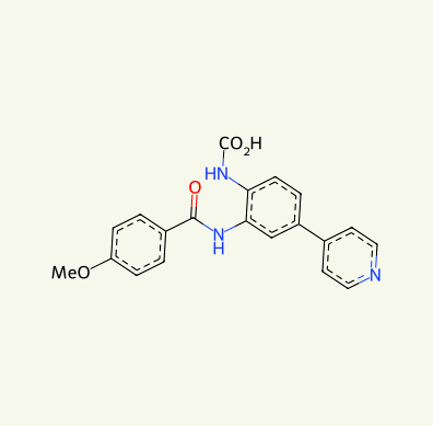 COc1ccc(C(=O)Nc2cc(-c3ccncc3)ccc2NC(=O)O)cc1